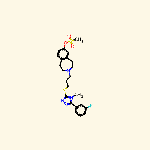 Cn1c(SCCCN2CCc3ccc(OS(C)(=O)=O)cc3CC2)nnc1-c1cccc(F)c1